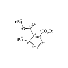 CCCCOC(=O)c1c(C(=O)OCC)cccc1C(C)(C)C